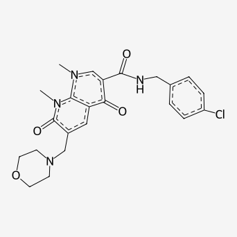 Cn1cc(C(=O)NCc2ccc(Cl)cc2)c(=O)c2cc(CN3CCOCC3)c(=O)n(C)c21